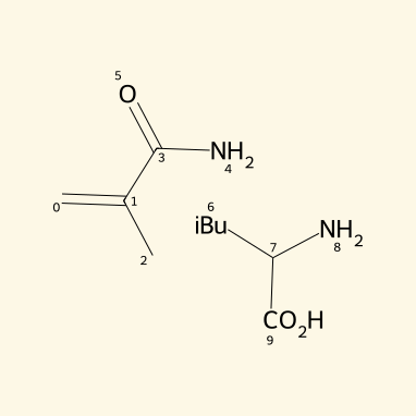 C=C(C)C(N)=O.CCC(C)C(N)C(=O)O